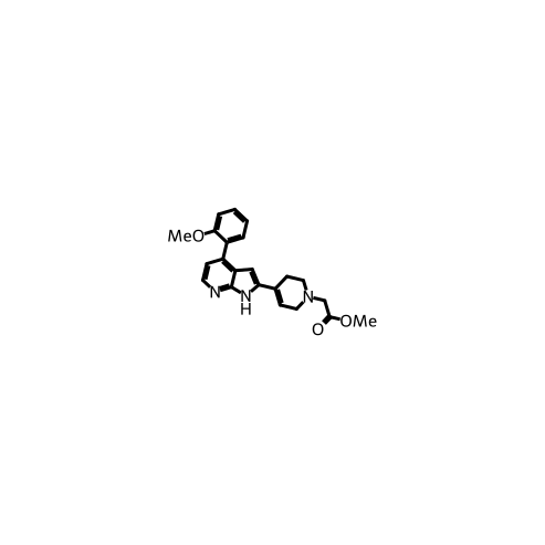 COC(=O)CN1CC=C(c2cc3c(-c4ccccc4OC)ccnc3[nH]2)CC1